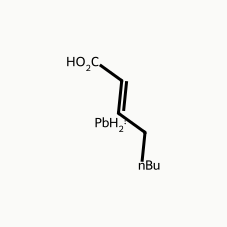 CCCCC/C=C/C(=O)O.[PbH2]